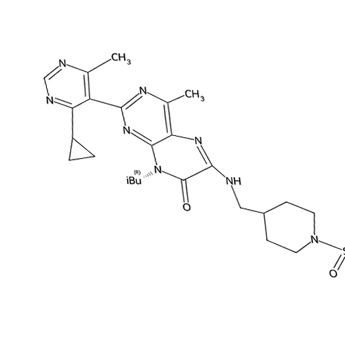 CC[C@@H](C)n1c(=O)c(NCC2CCN(S(=O)(=O)CC)CC2)nc2c(C)nc(-c3c(C)ncnc3C3CC3)nc21